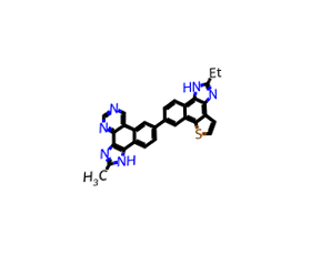 CCc1nc2c3ccsc3c3cc(-c4ccc5c(c4)c4cncnc4c4nc(C)[nH]c54)ccc3c2[nH]1